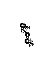 N#CN1C2CC[C@@H]1[C@H](NC(=O)C1CCN(c3cccc(C(F)(F)F)n3)C1)C2